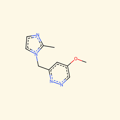 COc1cnnc(Cn2ccnc2C)c1